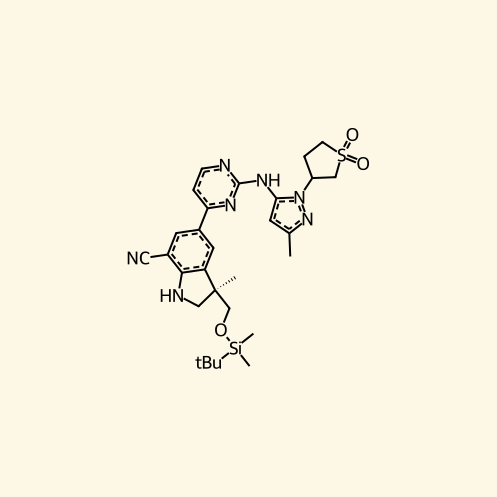 Cc1cc(Nc2nccc(-c3cc(C#N)c4c(c3)[C@@](C)(CO[Si](C)(C)C(C)(C)C)CN4)n2)n(C2CCS(=O)(=O)C2)n1